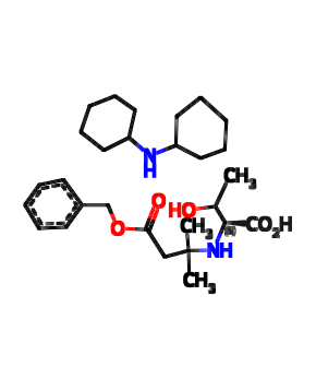 C1CCC(NC2CCCCC2)CC1.CC(O)[C@H](NC(C)(C)CC(=O)OCc1ccccc1)C(=O)O